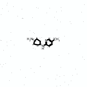 Cc1ccc(N[C@H]2CC[C@@H](N)CC2)nc1